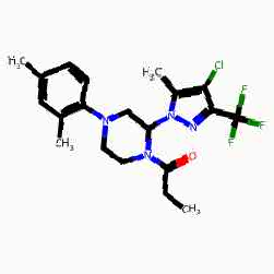 CCC(=O)N1CCN(c2ccc(C)cc2C)CC1n1nc(C(F)(F)F)c(Cl)c1C